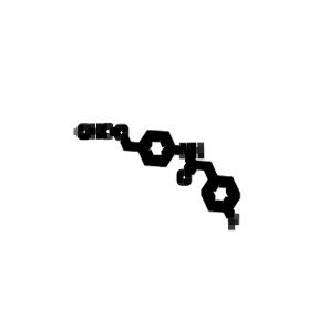 O=[C]OCc1ccc(NC(=O)Cc2ccc(F)cc2)cc1